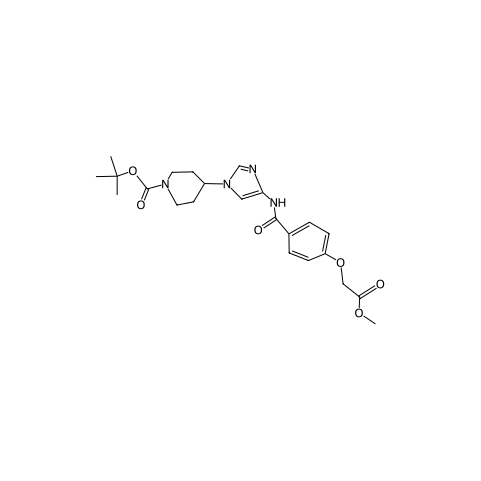 COC(=O)COc1ccc(C(=O)Nc2cn(C3CCN(C(=O)OC(C)(C)C)CC3)cn2)cc1